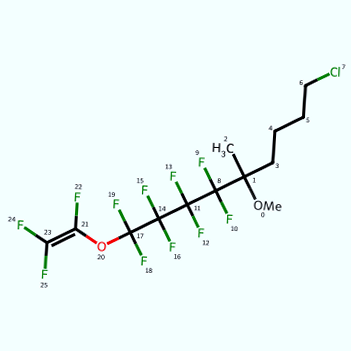 COC(C)(CCCCCl)C(F)(F)C(F)(F)C(F)(F)C(F)(F)OC(F)=C(F)F